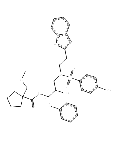 COCC1(C(=O)N[C@@H](Cc2ccccc2)C(O)CN(CCc2cc3ccccc3[nH]2)S(=O)(=O)c2ccc(N)cc2)CCCC1